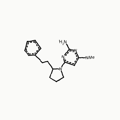 CNc1cc(N2CCCC2CCc2ccccc2)nc(N)n1